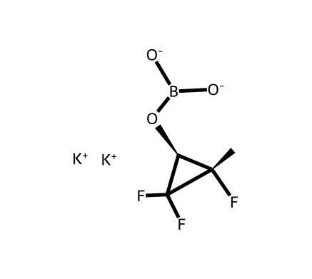 C[C@]1(F)[C@H](OB([O-])[O-])C1(F)F.[K+].[K+]